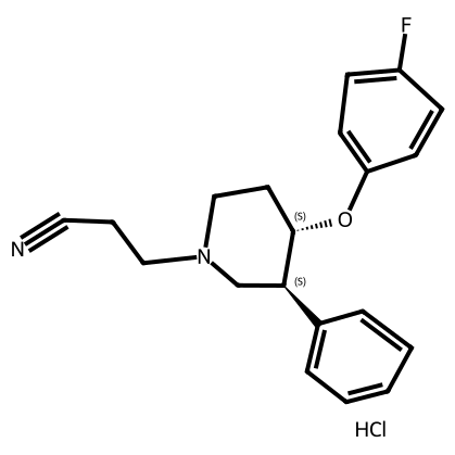 Cl.N#CCCN1CC[C@H](Oc2ccc(F)cc2)[C@@H](c2ccccc2)C1